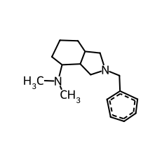 CN(C)C1CCCC2CN(Cc3ccccc3)CC21